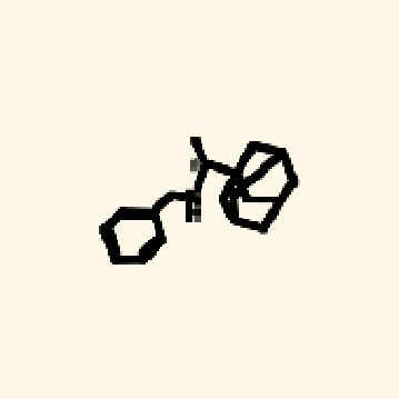 C[C@H](NCc1ccccc1)C12CC3CC(CC(C3)C1)C2